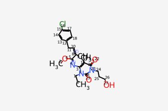 CCn1c(/N=C(OC)\C(C)=C/Cc2ccc(Cl)cc2)c(C)c(=O)n(CCCO)c1=O